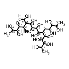 CC(O)C(O)C(O)CC(C(O)C(O)C(O)C(C)O)C(O)C(O)C(O)C(O)C(C(C)O)C(O)C(O)C(O)C(C)O